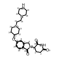 O=C1CCC(N2Cc3cc(OC4CCN(CCN5CCNCC5)CC4)ccc3C2=O)C(=O)N1